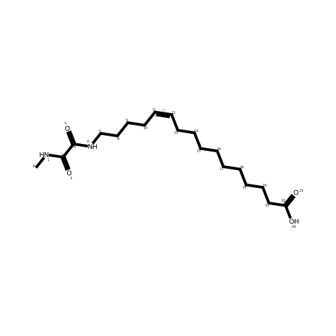 CNC(=O)C(=O)NCCCC/C=C\CCCCCCCCCC(=O)O